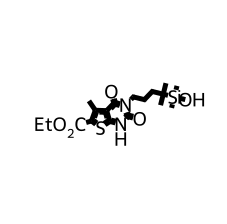 CCOC(=O)c1sc2[nH]c(=O)n(CCCC(C)(C)[Si](C)(C)O)c(=O)c2c1C